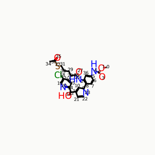 COC(=O)Nc1ccc(-c2cc(C(O)c3ccc(Cl)cn3)ccn2)c(NC(=O)CCCCSC(C)=O)c1